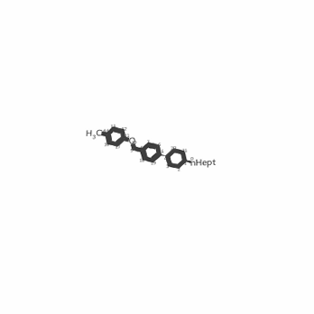 CCCCCCC[C@H]1CC[C@H](c2ccc(COc3ccc(C)cc3)cc2)CC1